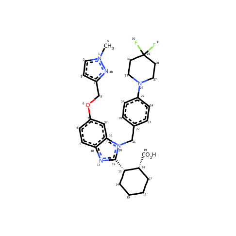 Cn1ccc(COc2ccc3nc([C@H]4CCCC[C@H]4C(=O)O)n(Cc4ccc(N5CCC(F)(F)CC5)cc4)c3c2)n1